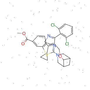 COC(=O)c1ccc2nc(N3CC4CC(C3)C4OCC3=C(C4CC4)CN=C3c3c(Cl)cccc3Cl)sc2c1